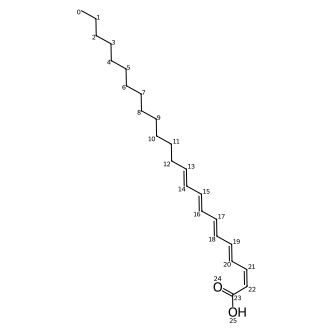 CCCCCCCCCCCCCC=CC=CC=C/C=C/C=C\C(=O)O